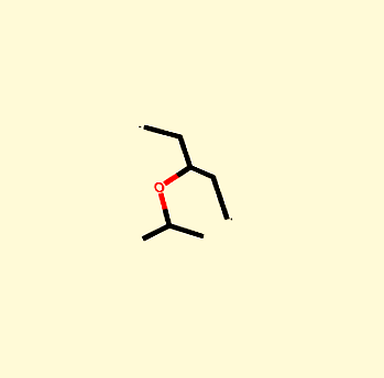 [CH2]CC(C[CH2])OC(C)C